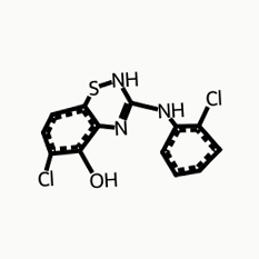 Oc1c(Cl)ccc2c1N=C(Nc1ccccc1Cl)NS2